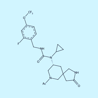 CC(=O)N1C[C@H](N(C(=O)NCc2ccc(OC(F)(F)F)cc2F)C2CC2)CC2(CNC(=O)C2)C1